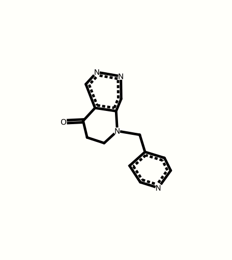 O=C1CCN(Cc2ccncc2)c2cnncc21